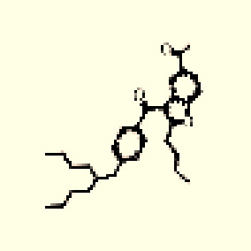 CCCCc1oc2ccc(C(C)=O)cc2c1C(=O)c1ccc(CC(CCCC)CCCC)cc1